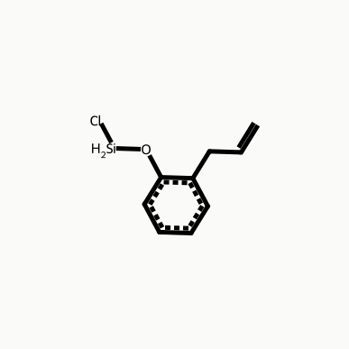 C=CCc1ccccc1O[SiH2]Cl